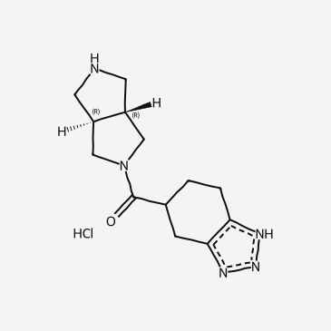 Cl.O=C(C1CCc2[nH]nnc2C1)N1C[C@H]2CNC[C@@H]2C1